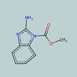 COC(=O)n1c(N)nc2ccccc21